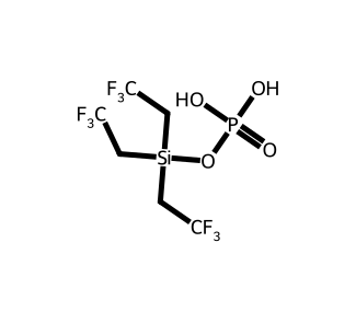 O=P(O)(O)O[Si](CC(F)(F)F)(CC(F)(F)F)CC(F)(F)F